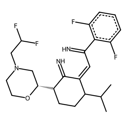 CC(C)C1CCC([C@H]2CN(CC(F)F)CCO2)C(=N)/C1=C\C(=N)c1c(F)cccc1F